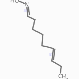 CC/C=C/CCCC/C=N/O